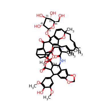 COc1cc(C2c3cc4c(cc3C(NC(=O)/C(C)=C\CC35OC(C)(C)C6CC(C=C7C(=O)c8c(O[C@@H]9O[C@H](CO)[C@@H](O)[C@H](O)[C@H]9O)c9c(c(CC=C(C)C)c8OC763)OC(C)(CCC=C(C)C)C=C9)C5=O)C3COC(=O)C23)OCO4)cc(OC)c1O